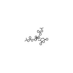 CC(C)OC(=O)OCOP(=O)(CC1CCC(=O)OC1=O)OCOC(=O)OC(C)C